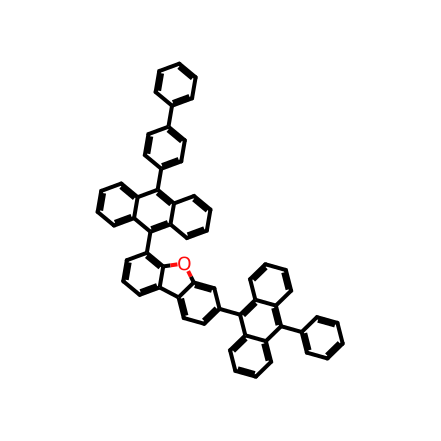 c1ccc(-c2ccc(-c3c4ccccc4c(-c4cccc5c4oc4cc(-c6c7ccccc7c(-c7ccccc7)c7ccccc67)ccc45)c4ccccc34)cc2)cc1